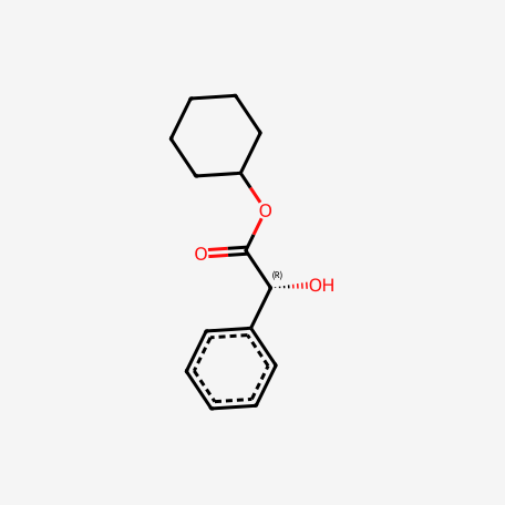 O=C(OC1CCCCC1)[C@H](O)c1ccccc1